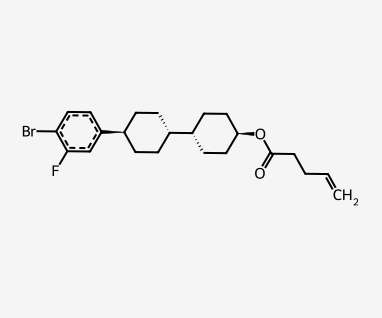 C=CCCC(=O)O[C@H]1CC[C@H]([C@H]2CC[C@H](c3ccc(Br)c(F)c3)CC2)CC1